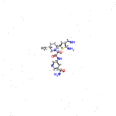 C[C@@H]1CC[C@@H](c2cc(C=N)c(N)s2)N(C(=O)C(=O)Nc2cncc(C(N)=O)c2)C1